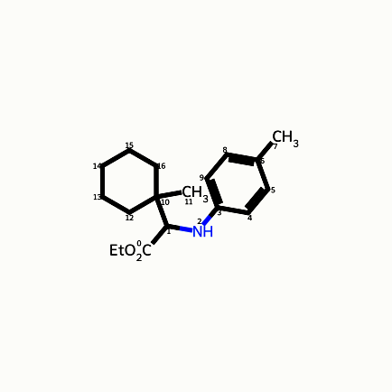 CCOC(=O)C(Nc1ccc(C)cc1)C1(C)CCCCC1